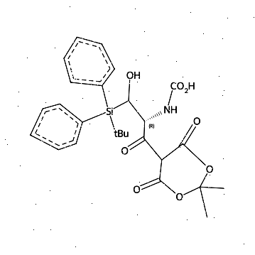 CC1(C)OC(=O)C(C(=O)[C@@H](NC(=O)O)C(O)[Si](c2ccccc2)(c2ccccc2)C(C)(C)C)C(=O)O1